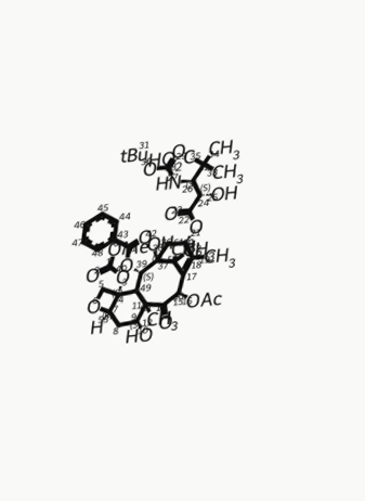 COC(=O)O[C@@]12CO[C@@H]1C[C@H](O)[C@@]1(C)C(=O)[C@H](OC(C)=O)C3=C(C)[C@@H](OC(=O)[C@@H](O)[C@@H](NC(=O)OC(C)(C)C)C(C)(C)C(=O)O)C[C@@](O)([C@@H](OC(=O)c4ccccc4)C12)C3(C)C